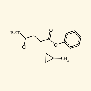 CC1CC1.CCCCCCCCC(O)CCC(=O)Oc1ccccc1